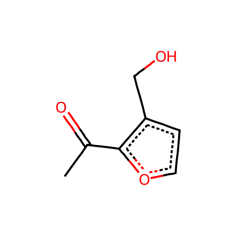 CC(=O)c1occc1CO